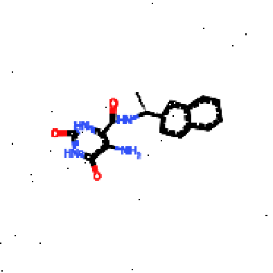 C[C@@H](NC(=O)c1[nH]c(=O)[nH]c(=O)c1N)c1ccc2ccccc2c1